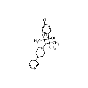 CC1(C)C(N2CCN(c3cccnc3)CC2)C(C)(C)C1(O)c1ccc(Cl)cc1